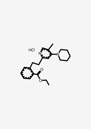 CCOC(=O)c1ccccc1CCc1cc(N2CCCCC2)c(C)cn1.Cl